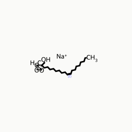 CCCCCCCC/C=C\CCCCCCCCC(C)(CO)S(=O)(=O)[O-].[Na+]